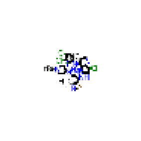 Cc1ncsc1[C@H](Nc1cc(Cl)c2ncc(C#N)c(Nc3ccc(Cl)c(Cl)c3F)c2c1)C1=CN(C2CCN(C(C)(C)C)CC2)NN1